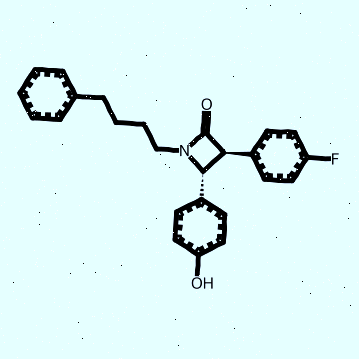 O=C1[C@@H](c2ccc(F)cc2)[C@H](c2ccc(O)cc2)N1CCCCc1ccccc1